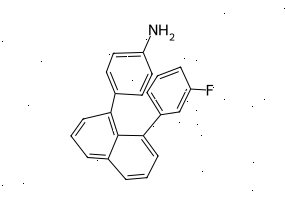 Nc1ccc(-c2cccc3cccc(-c4cccc(F)c4)c23)cc1